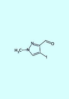 Cn1cc(I)c(C=O)n1